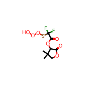 CC1(C)COC(=O)C1OC(=O)C(F)(F)SOOO